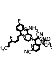 C=C/C=C(F)\C=C/CC(c1ccc(F)cc1)N1CCN(/C(=C(\C#N)C=O)c2nc(C#N)ccc2N(C)C)CC1C(N)=O